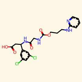 O=C(O)CC(NC(=O)CNC(=O)OCCCNc1ccccn1)c1cc(Cl)cc(Cl)c1